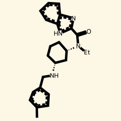 CCN(C(=O)c1nc2ccccc2[nH]1)[C@H]1CCC[C@@H](NCc2ccc(C)cc2)C1